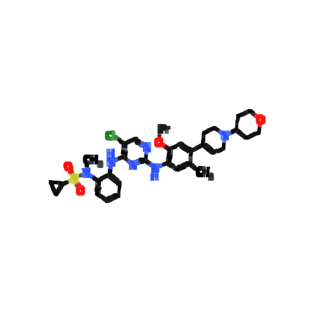 Cc1cc(Nc2ncc(Cl)c(Nc3ccccc3N(C)S(=O)(=O)C3CC3)n2)c(OC(C)C)cc1C1=CCN(C2CCOCC2)CC1